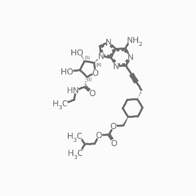 CCNC(=O)[C@H]1O[C@@H](n2cnc3c(N)nc(C#CC[C@H]4CC[C@H](COC(=O)OCC(C)C)CC4)nc32)[C@@H](O)C1O